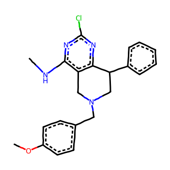 CNc1nc(Cl)nc2c1CN(Cc1ccc(OC)cc1)CC2c1ccccc1